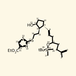 C=C(C)CCC(C/C=C/[C@H]1CC[C@H](O)[C@@H]1CCSc1nc(C(=O)OCC)cs1)O[Si](C)(C)C(C)(C)C